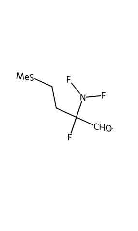 CSCCC(F)([C]=O)N(F)F